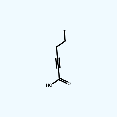 [CH2]CCC#CC(=O)O